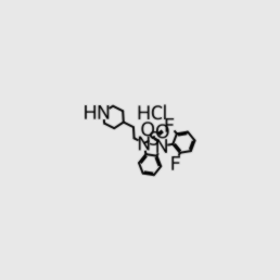 Cl.O=S1(=O)N(CCC2CCNCC2)c2ccccc2N1c1c(F)cccc1F